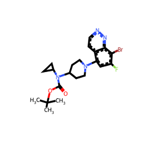 CC(C)(C)OC(=O)N(C1CC1)C1CCN(c2cc(F)c(Br)c3nnccc23)CC1